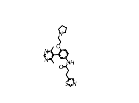 Cc1ncnc(C)c1-c1cc(NC(=O)CCc2cncs2)ccc1OCCN1CCCC1